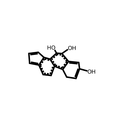 OC1=CCc2c(c(O)c(O)c3c4c(ccc23)=CC=C4)=C1